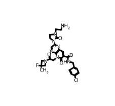 CC1(F)CN(C(=O)Cn2c(=O)c(C(=O)NCc3ccc(Cl)cc3)cc3nc(N4CCN(CCN)C4=O)cnc32)C1